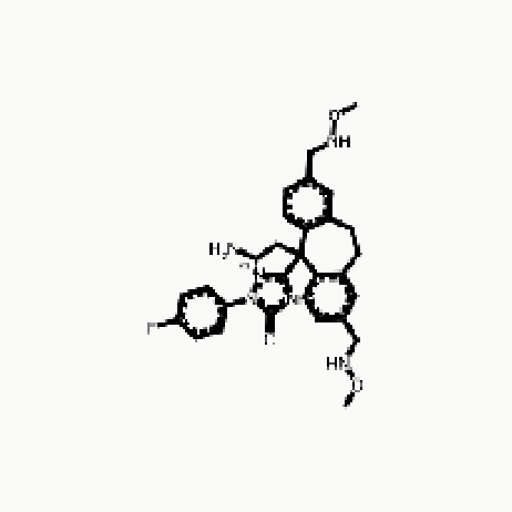 CONCc1ccc2c(c1)CCc1cc(CNOC)ccc1C2(C[C@H](C)N)c1nn(-c2ccc(F)cc2)c(=O)[nH]1